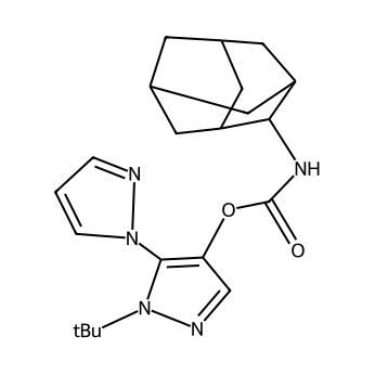 CC(C)(C)n1ncc(OC(=O)NC2C3CC4CC(C3)CC2C4)c1-n1cccn1